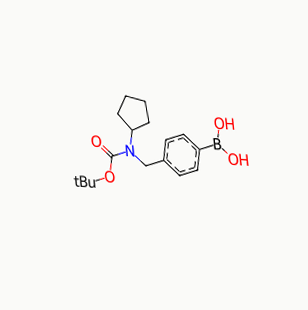 CC(C)(C)OC(=O)N(Cc1ccc(B(O)O)cc1)C1CCCC1